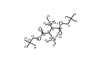 CC(C)(C)COC(=O)C(C(C(=O)OCC(C)(C)C)[Si](C)(C)C)[Si](C)(C)C